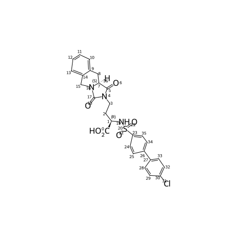 O=C(O)[C@@H](CCN1C(=O)[C@@H]2Cc3ccccc3CN2C1=O)NS(=O)(=O)c1ccc(-c2ccc(Cl)cc2)cc1